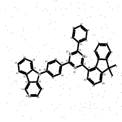 CC1(C)c2ccccc2-c2c(-c3nc(-c4ccccc4)nc(-c4ccc(-n5c6ccccc6c6cnccc65)cc4)n3)cccc21